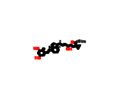 C=C1/C(=C\C=C2/CCC[C@]3(C)[C@@H]([C@H](C)/C=C/[C@H](O)CCC4(C(=O)CCCCCC)CC4)CC[C@@H]23)C[C@@H](O)C[C@@H]1O